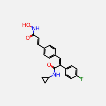 O=C(/C=C/c1ccc(/C=C(\C(=O)NC2CC2)c2ccc(F)cc2)cc1)NO